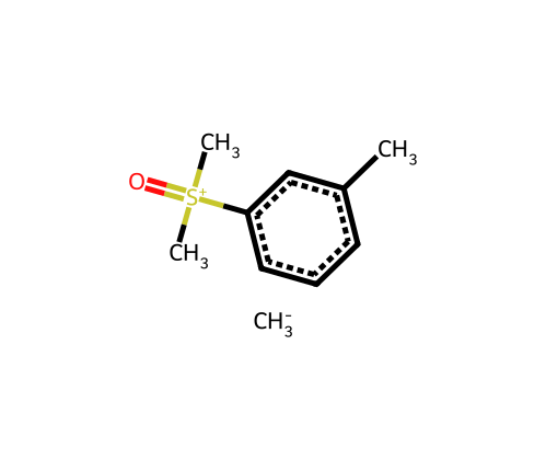 Cc1cccc([S+](C)(C)=O)c1.[CH3-]